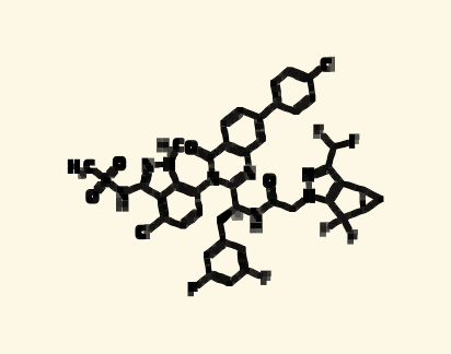 Cn1nc(NS(C)(=O)=O)c2c(Cl)ccc(-n3c([C@H](Cc4cc(F)cc(F)c4)NC(=O)Cn4nc(C(F)F)c5c4C(F)(F)C4CC54)nc4cc(-c5ccc(Cl)cc5)ccc4c3=O)c21